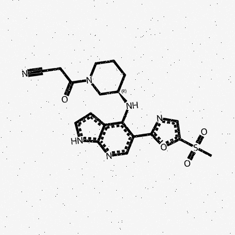 CS(=O)(=O)c1cnc(-c2cnc3[nH]ccc3c2N[C@@H]2CCCN(C(=O)CC#N)C2)o1